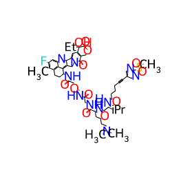 CC[C@@]1(O)C(=O)OCc2c1cc1n(c2=O)Cc2c-1nc1cc(F)c(C)c3c1c2[C@@H](NC(=O)COCNC(=O)CNC(=O)C(CCCCN(C)C)NC(=O)C(NC(=O)CCCC#Cc1cnc(S(C)(=O)=O)nc1)C(C)C)CC3